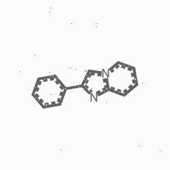 [c]1c(-c2ccccc2)nc2ccccn12